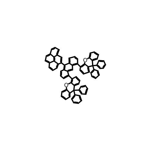 c1ccc(C2(c3ccccc3)c3ccccc3Oc3c(-c4cccc5c(-c6cc7cccc8ccc9cccc6c9c87)c6cccc(-c7cccc8c7Oc7ccccc7C8(c7ccccc7)c7ccccc7)c6cc45)cccc32)cc1